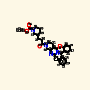 Cc1nc2c(c(=O)n1C(c1ccccc1)c1ccccc1)CCN(C(=O)CCC1CCCN(C(=O)OC(C)(C)C)C1)C2